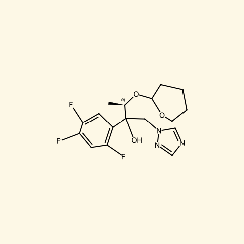 C[C@@H](OC1CCCCO1)C(O)(Cn1cncn1)c1cc(F)c(F)cc1F